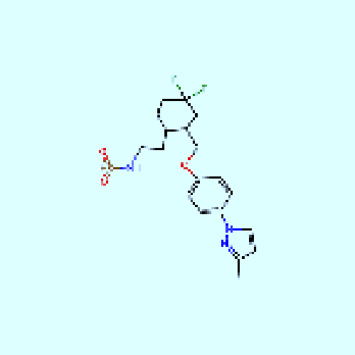 Cc1ccn(-c2ccc(OCC3CC(F)(F)CCC3CCN[SH](=O)=O)cc2)n1